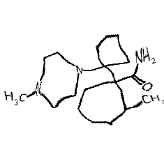 CC1CCCCC1(C(N)=O)C1(N2CCN(C)CC2)CCC1